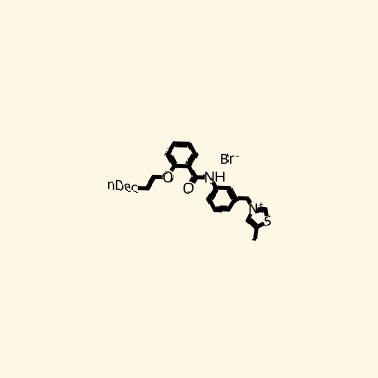 CCCCCCCCCCCCOc1ccccc1C(=O)Nc1cccc(C[n+]2csc(C)c2)c1.[Br-]